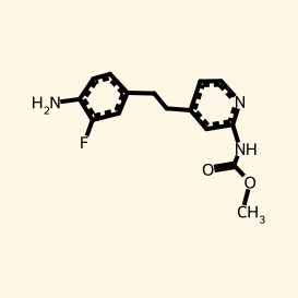 COC(=O)Nc1cc(CCc2ccc(N)c(F)c2)ccn1